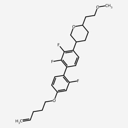 C=CCCCOc1ccc(-c2ccc(C3CCC(CCOC)OC3)c(F)c2F)c(F)c1